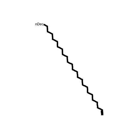 C=CCCCCCCCCCCCCCCCCCCCCCCCCCCCCCCCC